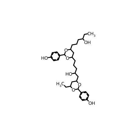 CCC(O)CCCC1CC(CCCC(O)CC2CC(CC)OC(c3ccc(O)cc3)O2)OC(c2ccc(O)cc2)O1